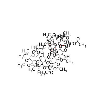 CC(=O)NC1[C@H](O[C@@H]2C(OC(C)=O)[C@@H](O[C@H]3C(COC(C)=O)O[C@@H](O[C@@H]4C(COC(C)=O)O[C@@H](C(C)C)C(OC(C)=O)[C@H]4OC(C)=O)C(OC(C)=O)[C@H]3OC(C)=O)OC(COC(C)=O)[C@H]2OC(C)=O)OC(COC(C)=O)[C@H](OC(C)=O)[C@@H]1O[C@@H]1OC(COC(C)=O)[C@H](OC(C)=O)[C@H](OC(C)=O)C1O[C@@H]1OC(C)[C@H](OC(C)=O)C(OC(C)=O)[C@H]1OC(C)=O